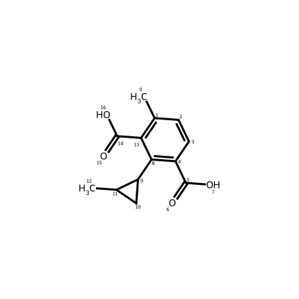 Cc1ccc(C(=O)O)c(C2CC2C)c1C(=O)O